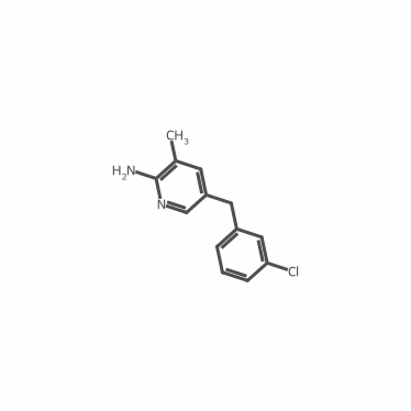 Cc1cc(Cc2cccc(Cl)c2)cnc1N